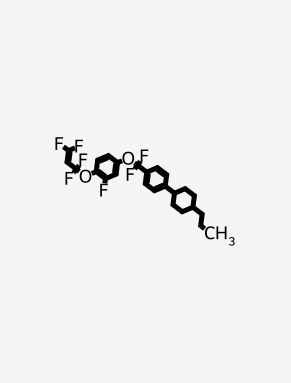 CCCC1CCC(c2ccc(C(F)(F)Oc3ccc(OC(F)(F)C=C(F)F)c(F)c3)cc2)CC1